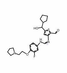 O=Cc1sc(C(O)C2CCCC2)cc1/N=C\Nc1ccc(OCCN2CCCC2)c(F)c1